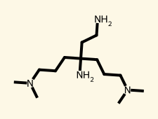 CN(C)CCCC(N)(CCN)CCCN(C)C